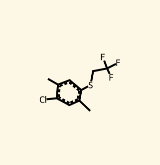 Cc1cc(SCC(F)(F)F)c(C)cc1Cl